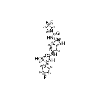 CC(C)(O)[C@@H](NC(=O)Nc1cc2[nH]nc(NC(=O)N3CCC(F)(F)C3)c2cn1)c1ccc(F)cc1